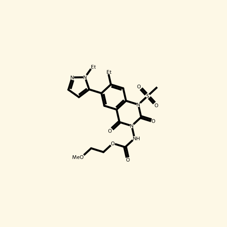 CCc1cc2c(cc1-c1ccnn1CC)c(=O)n(NC(=O)OCCOC)c(=O)n2S(C)(=O)=O